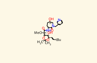 CO[C@@H](C(=O)N[C@H]1CC[C@@H](O)CN(Cc2cccnc2)C1=O)[C@@H]1OC(C)(C)O[C@H](C=CC(C)(C)C)[C@H]1O